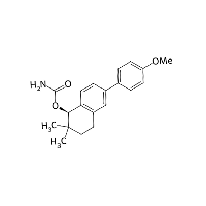 COc1ccc(-c2ccc3c(c2)CCC(C)(C)[C@H]3OC(N)=O)cc1